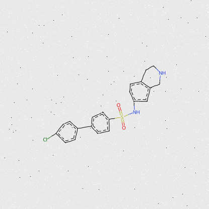 O=S(=O)(Nc1ccc2c(c1)CNCC2)c1ccc(-c2ccc(Cl)cc2)cc1